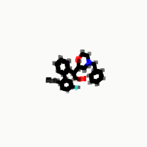 COc1ccc(F)cc1-c1ccccc1C(CO)C1CN(Cc2ccccc2)CCO1